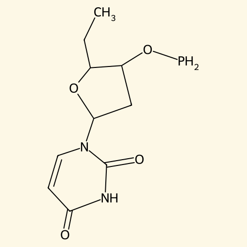 CCC1OC(n2ccc(=O)[nH]c2=O)CC1OP